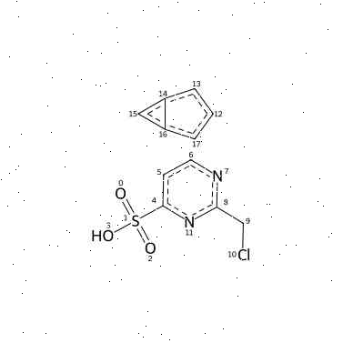 O=S(=O)(O)c1ccnc(CCl)n1.c1cc2cc-2c1